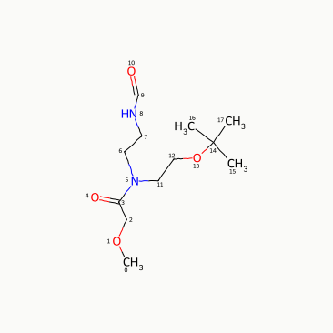 COCC(=O)N(CCNC=O)CCOC(C)(C)C